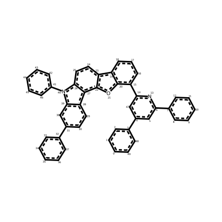 c1ccc(-c2cc(-c3ccccc3)nc(-c3cccc4c3oc3c4ccc4c3c3ccc(-c5ccccc5)cc3n4-c3ccccc3)c2)cc1